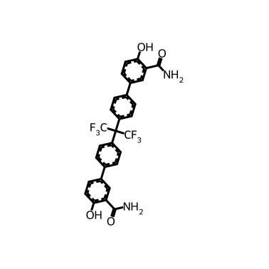 NC(=O)c1cc(-c2ccc(C(c3ccc(-c4ccc(O)c(C(N)=O)c4)cc3)(C(F)(F)F)C(F)(F)F)cc2)ccc1O